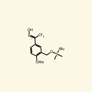 COc1ccc(/C(=N/O)C(F)(F)F)cc1CO[Si](C)(C)C(C)(C)C